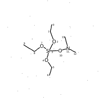 CCO[Si](OCC)(OCC)ON(C)C